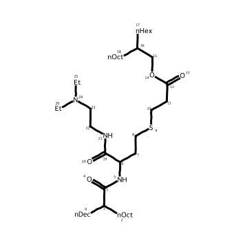 CCCCCCCCCCC(CCCCCCCC)C(=O)NC(CCSCCC(=O)OCC(CCCCCC)CCCCCCCC)C(=O)NCCN(CC)CC